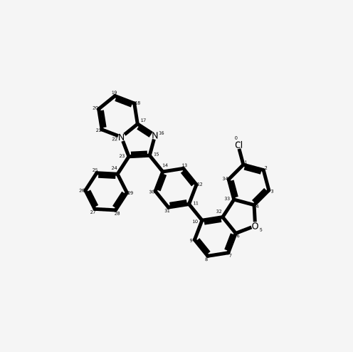 Clc1ccc2oc3cccc(-c4ccc(-c5nc6ccccn6c5-c5ccccc5)cc4)c3c2c1